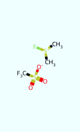 C[S+](C)F.O=S(=O)([O-])C(F)(F)F